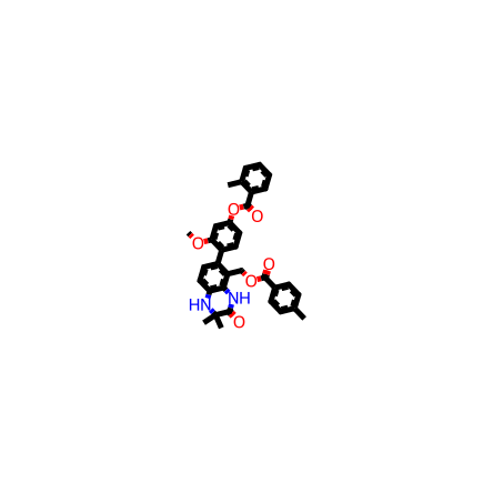 COc1cc(OC(=O)c2ccccc2C)ccc1-c1ccc2c(c1COC(=O)c1ccc(C)cc1)NC(=O)C(C)(C)N2